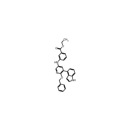 CCOC(=O)c1cccc(Nc2cnc(OCc3ccccc3)c(-c3cccc4[nH]ccc34)c2)c1